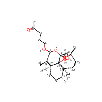 CC(=O)CCCO[C@H]1O[C@@H]2OC3(C)CC[C@H]4[C@H](C)CC[C@@H]([C@H]1C)C24OO3